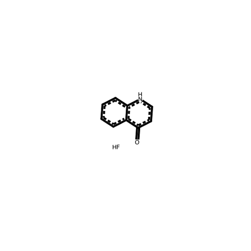 F.O=c1cc[nH]c2ccccc12